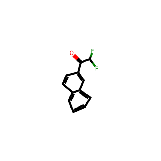 O=C(c1ccc2ccccc2c1)C(F)F